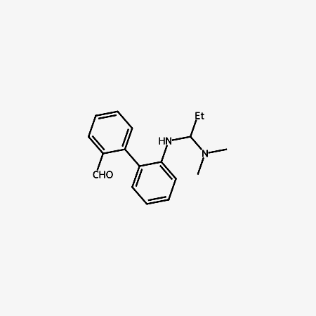 CCC(Nc1ccccc1-c1ccccc1C=O)N(C)C